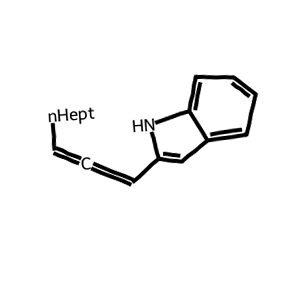 CCCCCCCC=C=Cc1cc2ccccc2[nH]1